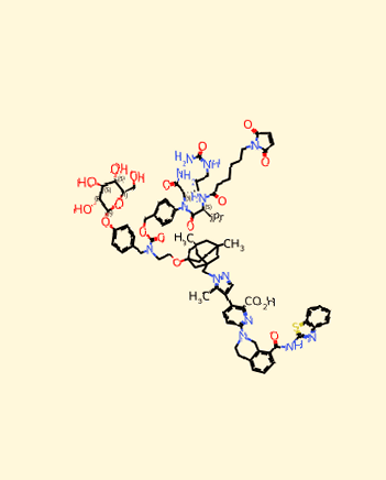 Cc1c(-c2ccc(N3CCc4cccc(C(=O)Nc5nc6ccccc6s5)c4C3)nc2C(=O)O)cnn1CC12CC3(C)CC(C)(C1)CC(OCCN(Cc1ccc(O[C@@H]4O[C@H](CO)[C@@H](O)[C@H](O)[C@H]4O)cc1)C(=O)OCc1ccc(N(C(=O)[C@@H](NC(=O)CCCCCN4C(=O)C=CC4=O)C(C)C)[C@@H](CCCNC(N)=O)C(N)=O)cc1)(C3)C2